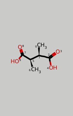 C[C@@H](C(=O)O)[C@@H](C)C(=O)O